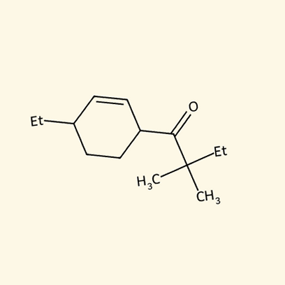 CCC1C=CC(C(=O)C(C)(C)CC)CC1